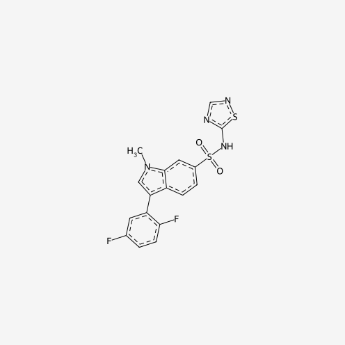 Cn1cc(-c2cc(F)ccc2F)c2ccc(S(=O)(=O)Nc3ncns3)cc21